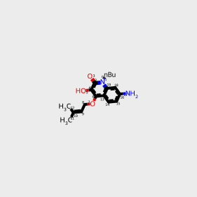 CCCCn1c(=O)c(O)c(OCC=C(C)C)c2ccc(N)cc21